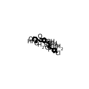 Bc1cc(Cl)ccc1C(F)(F)C(=O)N(B)C(B)(B)c1ccc2c(c1)CN(C1CCC(=O)NC1=O)C2=O